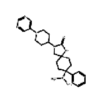 CN(C)[C@]1(c2ccccc2)CC[C@@]2(CC1)CN(C1CCN(c3cncnc3)CC1)C(=O)N2